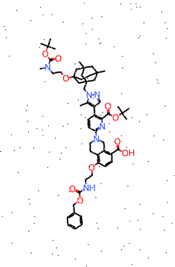 Cc1c(-c2ccc(N3CCc4c(OCCNC(=O)OCc5ccccc5)ccc(C(=O)O)c4C3)nc2C(=O)OC(C)(C)C)cnn1CC12CC3(C)CC(C)(C1)CC(OCCN(C)C(=O)OC(C)(C)C)(C3)C2